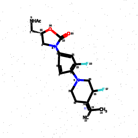 CC(=O)NC[C@H]1CN(c2ccc(N3CC/C(=C(/C)C#N)C(F)C3)c(F)c2)C(=O)O1